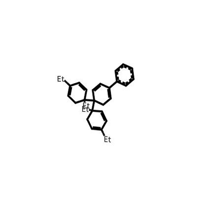 CCC1=CCC(CC)(C2(C3(CC)C=CC(CC)=CC3)C=CC(c3ccccc3)=CC2)C=C1